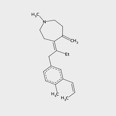 C=C1CCN(C)CC/C1=C(/CC)Cc1ccc(C)c(/C=C\C)c1